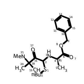 CCCCSC(N[C@H](C)C(=O)OCc1ccccc1)C(=O)C(C)(C)NC